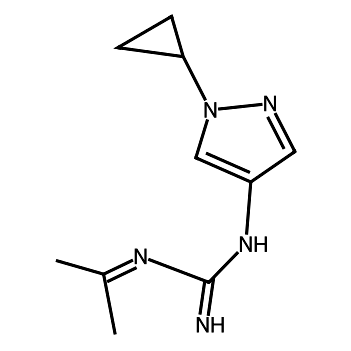 CC(C)=NC(=N)Nc1cnn(C2CC2)c1